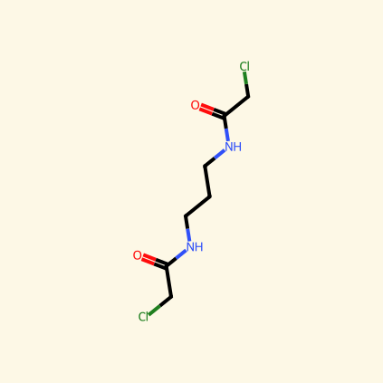 O=C(CCl)NCCCNC(=O)CCl